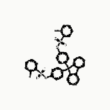 Cc1ccccc1S(=O)(=O)Oc1ccc(C2(c3ccc(OS(=O)(=O)c4ccccc4C)cc3)c3ccccc3-c3ccccc32)cc1